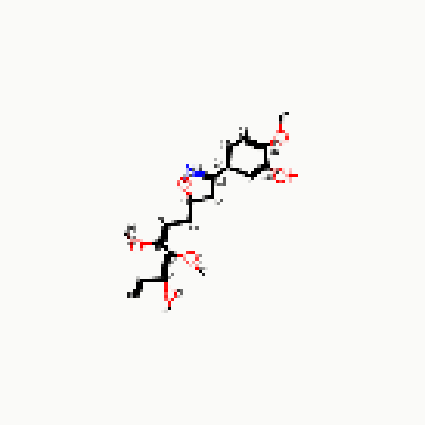 C=C/C(OC)=C(OC)\C(=C/CC1CC(C2C=C(O)C(OC)=CC2)=NO1)OC